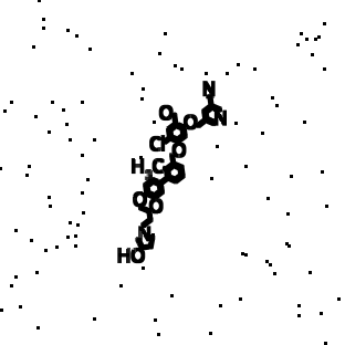 Cc1c(COc2cc(OCc3cncc(C#N)c3)c(C=O)cc2Cl)cccc1-c1ccc2c(c1)OC(CCN1CCC(O)C1)CO2